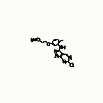 COCCOc1ccc(C)c(Nc2nn(C)c3nc(Cl)ncc23)c1